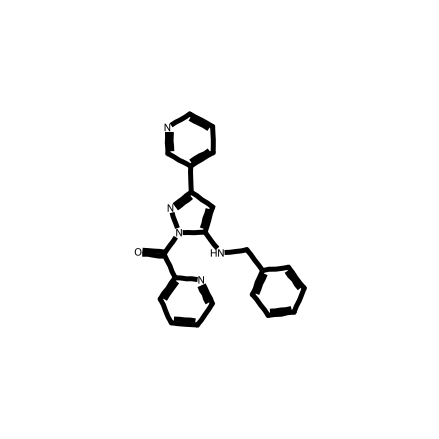 O=C(c1ccccn1)n1nc(-c2cccnc2)cc1NCc1ccccc1